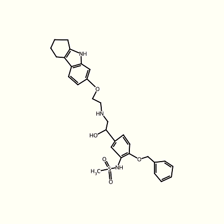 CS(=O)(=O)Nc1cc(C(O)CNCCOc2ccc3c4c([nH]c3c2)CCCC4)ccc1OCc1ccccc1